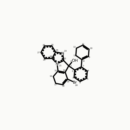 OC1(c2ccccc2C2=CC=CCC2)C2=C(CCC=C2Br)n2c1nc1ccccc12